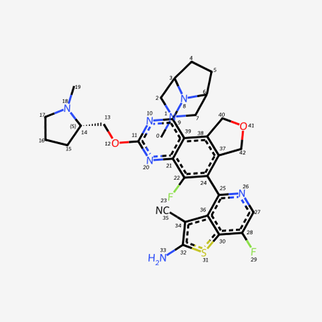 CN1CC2CCC(C1)N2c1nc(OC[C@@H]2CCCN2C)nc2c(F)c(-c3ncc(F)c4sc(N)c(C#N)c34)c3c(c12)COC3